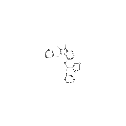 Cc1c(C)n(Cc2ccccc2)c2c(OC(Cc3ccccc3)C3=COCO3)ccnc12